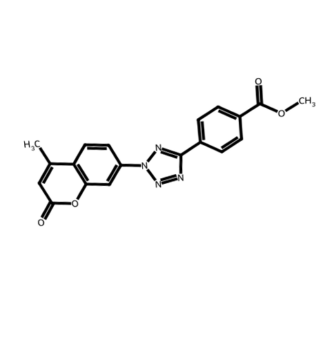 COC(=O)c1ccc(-c2nnn(-c3ccc4c(C)cc(=O)oc4c3)n2)cc1